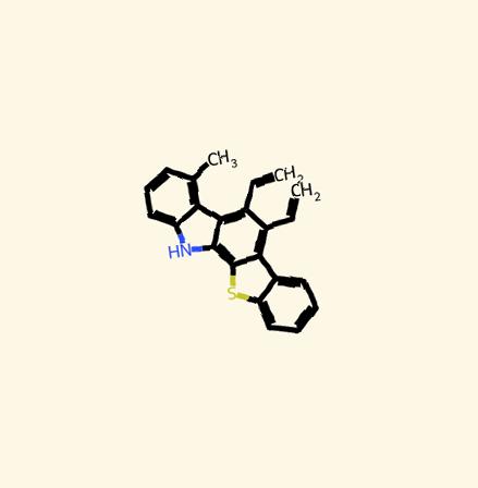 C=Cc1c(C=C)c2c([nH]c3cccc(C)c32)c2sc3ccccc3c12